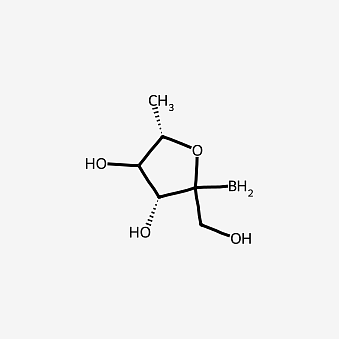 BC1(CO)O[C@@H](C)C(O)[C@H]1O